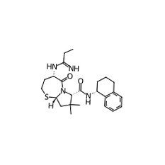 CCC(=N)N[C@H]1CCS[C@H]2CC(C)(C)[C@@H](C(=O)N[C@@H]3CCCc4ccccc43)N2C1=O